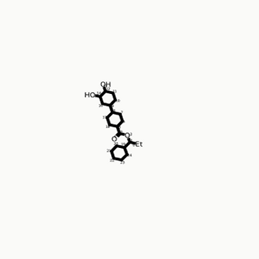 CCC(OC(=O)C1CCC(C2CCC(O)C(O)C2)CC1)C1CCCCC1